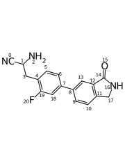 N#CC(N)Cc1ccc(-c2ccc3c(c2)C(=O)NC3)cc1F